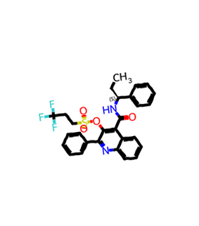 CC[C@H](NC(=O)c1c(OS(=O)(=O)CCC(F)(F)F)c(-c2ccccc2)nc2ccccc12)c1ccccc1